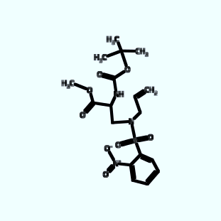 C=CCN(CC(NC(=O)OC(C)(C)C)C(=O)OC)S(=O)(=O)c1ccccc1[N+](=O)[O-]